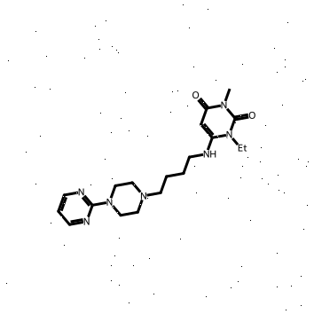 CCn1c(NCCCCN2CCN(c3ncccn3)CC2)cc(=O)n(C)c1=O